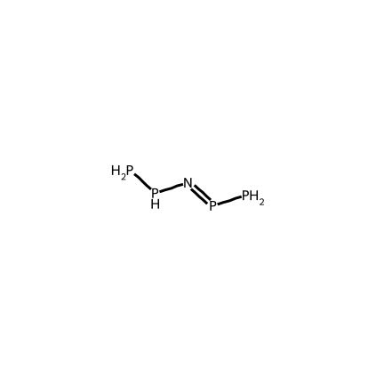 P/P=N/PP